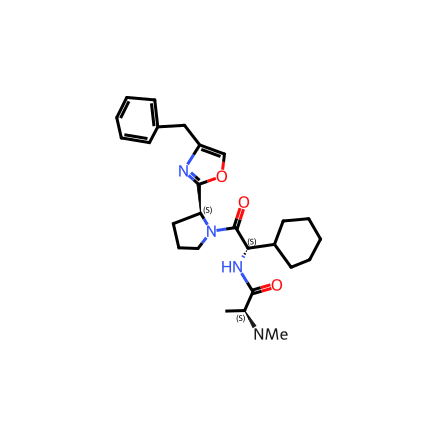 CN[C@@H](C)C(=O)N[C@H](C(=O)N1CCC[C@H]1c1nc(Cc2ccccc2)co1)C1CCCCC1